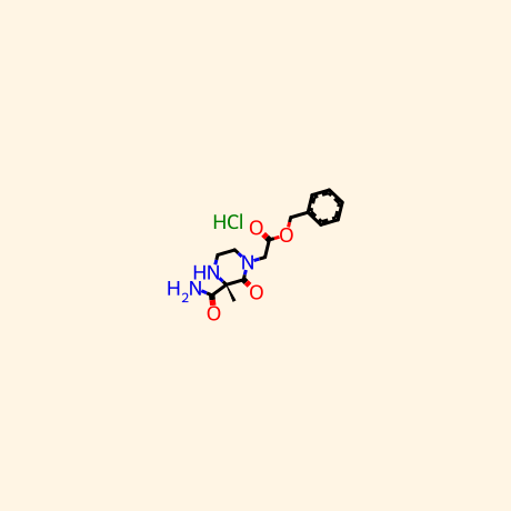 C[C@@]1(C(N)=O)NCCN(CC(=O)OCc2ccccc2)C1=O.Cl